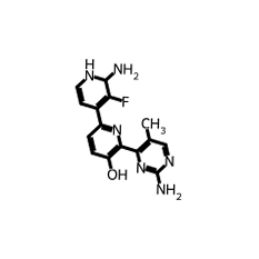 Cc1cnc(N)nc1-c1nc(C2=C(F)C(N)NC=C2)ccc1O